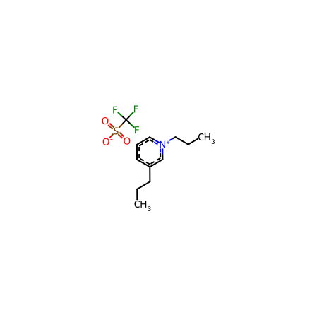 CCCc1ccc[n+](CCC)c1.O=S(=O)([O-])C(F)(F)F